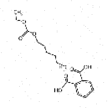 CCCCCCOC(=O)OCC.O=C(O)c1ccccc1C(=O)O